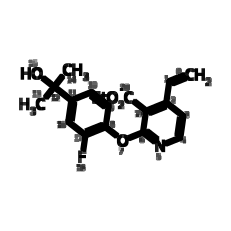 C=Cc1ccnc(Oc2ccc(C(C)(C)O)cc2F)c1C(=O)OCC